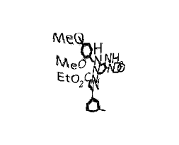 CCOC(=O)c1cc(-c2cccc(C)c2)nn1-c1cc(N2CCOCC2)c(N)c(NCc2ccc(OC)cc2OC)n1